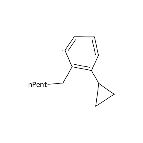 CCCCCCc1[c]cccc1C1CC1